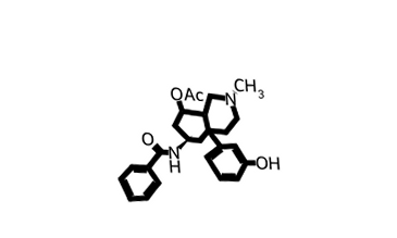 CC(=O)OC1C[C@H](NC(=O)c2ccccc2)CC2(c3cccc(O)c3)CCN(C)CC12